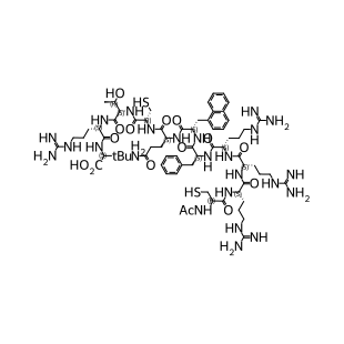 CC(=O)N[C@@H](CS)C(=O)N[C@@H](CCCNC(=N)N)C(=O)N[C@@H](CCCNC(=N)N)C(=O)N[C@@H](CCCNC(=N)N)C(=O)N[C@@H](Cc1ccccc1)C(=O)N[C@@H](Cc1cccc2ccccc12)C(=O)N[C@@H](CCC(N)=O)C(=O)N[C@@H](CS)C(=O)N[C@H](C(=O)N[C@@H](CCCNC(=N)N)C(=O)N[C@H](C(=O)O)C(C)(C)C)[C@@H](C)O